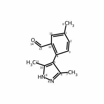 Cc1ccc(-c2c(C)n[nH]c2C)c(C=O)c1